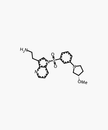 CO[C@H]1CCN(c2cccc(S(=O)(=O)n3cc(CCN)c4ncccc43)c2)C1